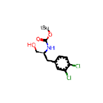 CC(C)(C)OC(=O)N[C@H](CO)Cc1ccc(Cl)c(Cl)c1